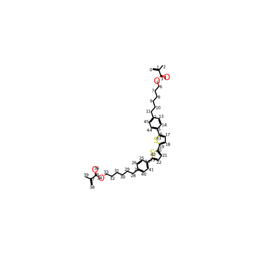 C=C(C)C(=O)OCCCCCCc1ccc(-c2ccc(-c3ccc(-c4ccc(CCCCCCOC(=O)C(=C)C)cc4)s3)s2)cc1